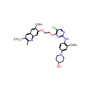 CCOC(=O)c1cc2cc(OC)c(OCCOc3nc(Nc4ccc(N5CCC(O)CC5)cc4OC)ncc3Cl)cc2nc1C